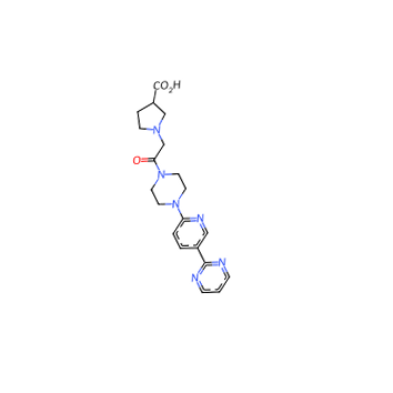 O=C(O)C1CCN(CC(=O)N2CCN(c3ccc(-c4ncccn4)cn3)CC2)C1